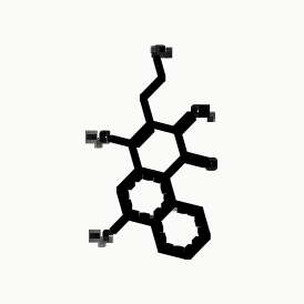 C=C1C(=O)c2c(cc(C)c3ccccc23)C(C)=C1CCC(C)(C)C